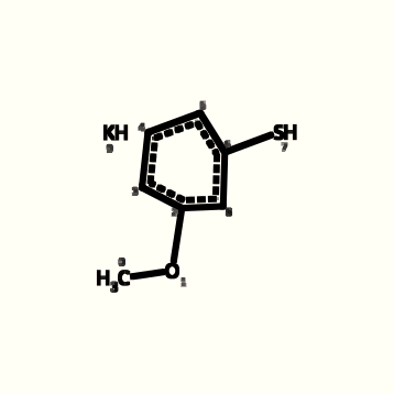 COc1cccc(S)c1.[KH]